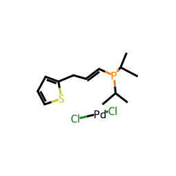 CC(C)P(C=CCc1cccs1)C(C)C.[Cl][Pd][Cl]